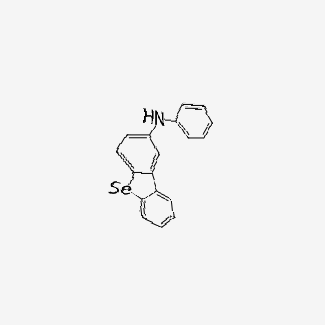 c1ccc(Nc2ccc3[se]c4ccccc4c3c2)cc1